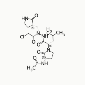 CC(=O)N[C@H]1CCN([C@@H](CC(C)C)C(=O)NN(C[C@@H]2CCNC2=O)C(=O)CCl)C1=O